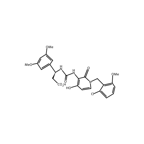 COc1cc(OC)cc([C@H](CC(=O)O)NC(=O)Nc2c(O)ccn(Cc3c(Cl)cccc3OC)c2=O)c1